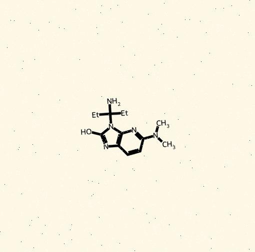 CCC(N)(CC)n1c(O)nc2ccc(N(C)C)nc21